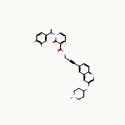 CCN1CCC(Nc2cnc3ccc(C#CCNC(=O)c4cccn(C(C)c5ccc(F)c(F)c5)c4=O)cc3c2)CC1